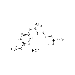 CCCN(CCC)CCCCN(C)Cc1ccc(CN)cc1.Cl